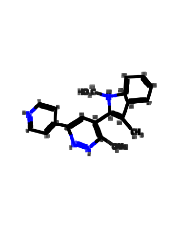 COc1nnc(-c2ccncc2)cc1-c1c(C)c2ccccc2n1C(=O)O